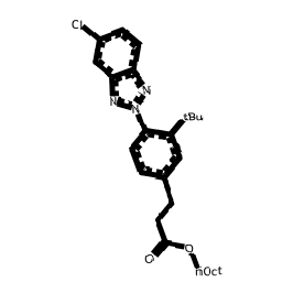 CCCCCCCCOC(=O)CCc1ccc(-n2nc3ccc(Cl)cc3n2)c(C(C)(C)C)c1